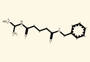 CC(NC(=O)CCCC(=O)OCc1ccccc1)C(=O)O